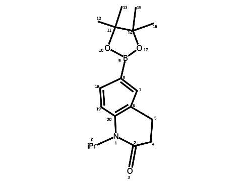 CC(C)N1C(=O)CCc2cc(B3OC(C)(C)C(C)(C)O3)ccc21